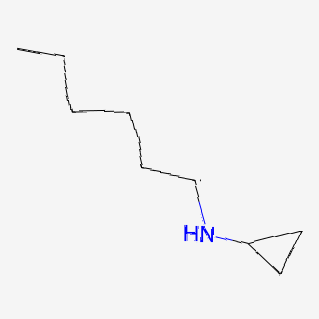 CCCCC[CH]NC1CC1